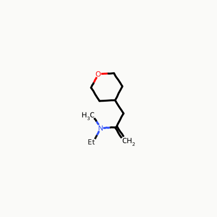 C=C(CC1CCOCC1)N(C)CC